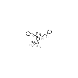 CC(C)(C)O[C@@H]1C[C@@H](C(=O)NCC(=O)c2ccccc2)N(C(=O)OCc2ccccc2)C1